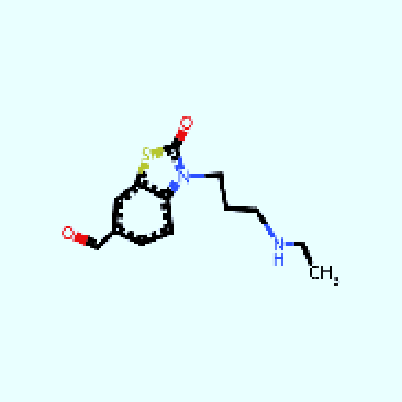 CCNCCCn1c(=O)sc2cc(C=O)ccc21